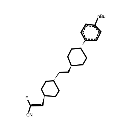 CCCCc1ccc([C@H]2CC[C@H](CC[C@H]3CC[C@H](C=C(F)C#N)CC3)CC2)cc1